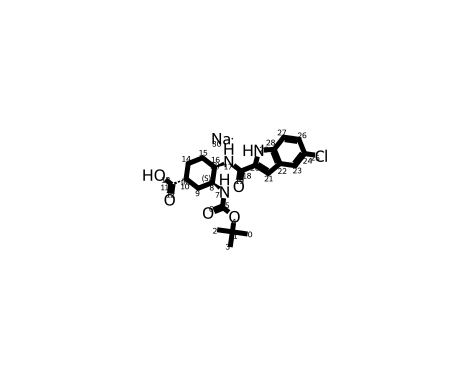 CC(C)(C)OC(=O)N[C@H]1C[C@H](C(=O)O)CC[C@H]1NC(=O)c1cc2cc(Cl)ccc2[nH]1.[Na]